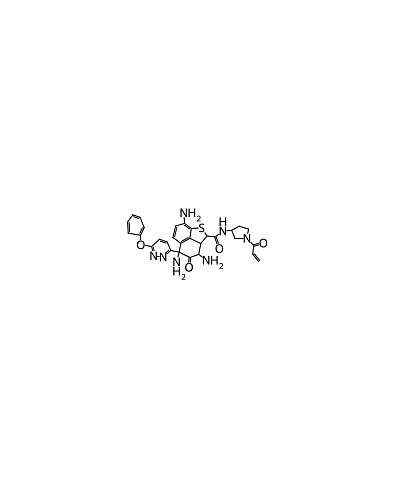 C=CC(=O)N1CCC(NC(=O)C2Sc3c(N)ccc4c3C2C(N)C(=O)C4(N)c2ccc(Oc3ccccc3)nn2)C1